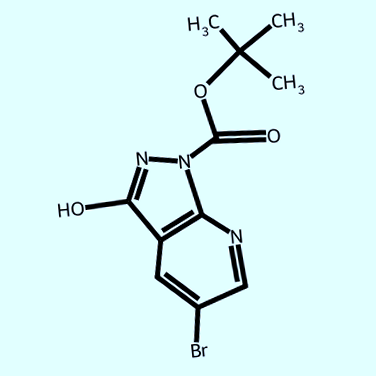 CC(C)(C)OC(=O)n1nc(O)c2cc(Br)cnc21